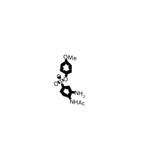 COc1ccc(OS(=O)(=O)c2ccc(NC(C)=O)c(N)c2)cc1